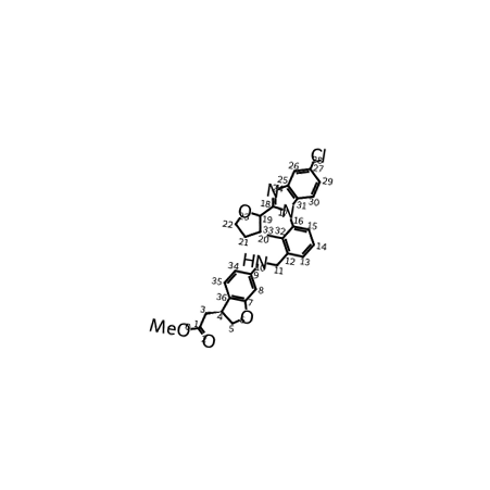 COC(=O)C[C@@H]1COc2cc(NCc3cccc(-n4c(C5CCCO5)nc5cc(Cl)ccc54)c3C)ccc21